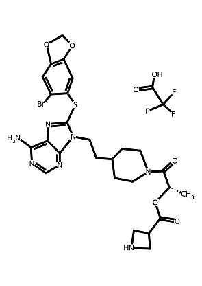 C[C@H](OC(=O)C1CNC1)C(=O)N1CCC(CCn2c(Sc3cc4c(cc3Br)OCO4)nc3c(N)ncnc32)CC1.O=C(O)C(F)(F)F